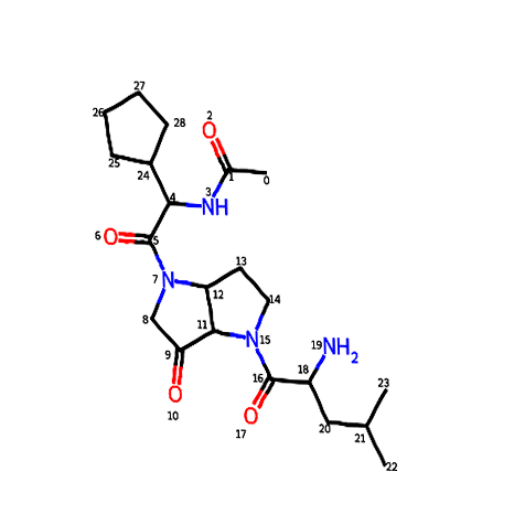 CC(=O)NC(C(=O)N1CC(=O)C2C1CCN2C(=O)C(N)CC(C)C)C1CCCC1